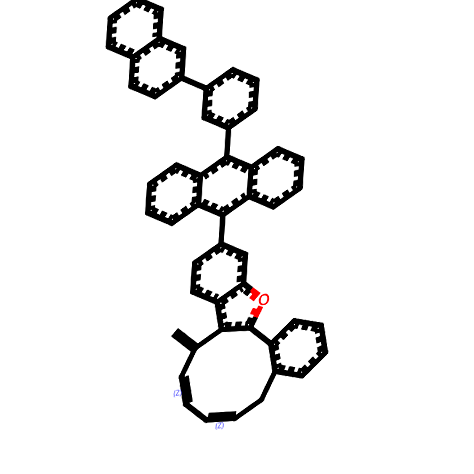 C=C1/C=C\C=C/Cc2ccccc2-c2oc3cc(-c4c5ccccc5c(-c5cccc(-c6ccc7ccccc7c6)c5)c5ccccc45)ccc3c21